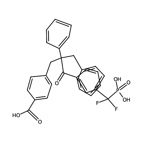 O=C(O)c1ccc(CC(Cc2ccc(C(F)(F)P(=O)(O)O)cc2)(C(=O)c2ccccc2)c2ccccc2)cc1